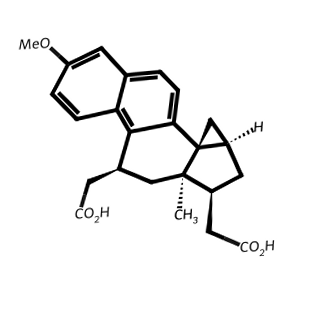 COc1ccc2c3c(ccc2c1)[C@]12C[C@H]1C[C@@H](CC(=O)O)[C@@]2(C)C[C@H]3CC(=O)O